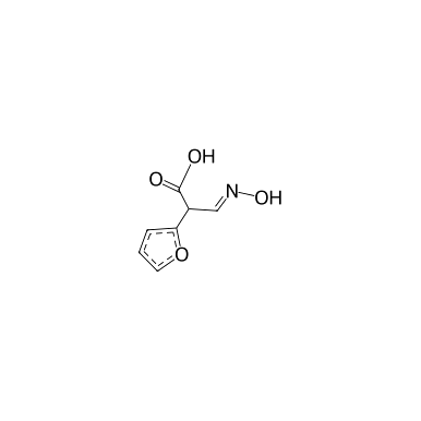 O=C(O)C(C=NO)c1ccco1